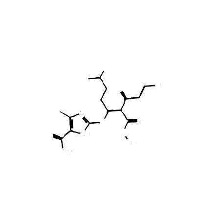 CCCCCCCCCCCCC(=O)C(C(=O)OC(C)(C)C)C(CCC(C)C(=O)O)Sc1nc(C)c(C(=O)OC)[nH]1